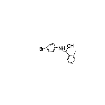 Cc1ccccc1C(O)CNc1ccc(Br)cc1